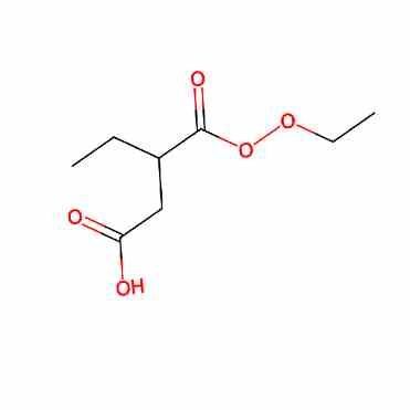 CCOOC(=O)C(CC)CC(=O)O